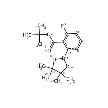 CC(C)(C)OC(=O)c1c(F)cccc1B1OC(C)(C)C(C)(C)O1